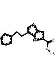 COC(=O)c1cc2occ(CCc3ccccc3)c2[nH]1